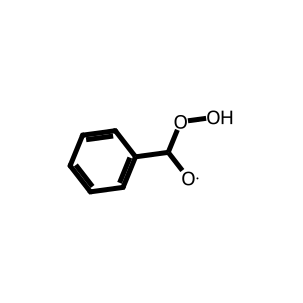 [O]C(OO)c1ccccc1